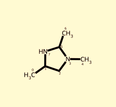 CC1CN(C)C(C)N1